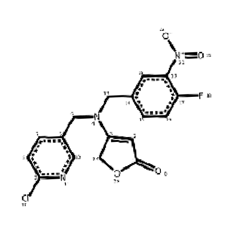 O=C1C=C(N(Cc2ccc(Cl)nc2)Cc2ccc(F)c([N+](=O)[O-])c2)CO1